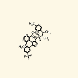 COc1ncnc(OC)c1-n1c(NS(=O)(=O)[C@@H](C)[C@H](C)c2cnc(C)cn2)nnc1-c1cccc(C(F)(F)F)c1